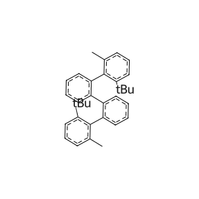 Cc1cccc(C(C)(C)C)c1-c1ccccc1-c1ccccc1-c1c(C)cccc1C(C)(C)C